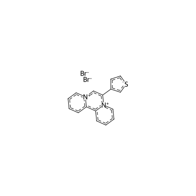 [Br-].[Br-].c1cc[n+]2cc(-c3ccsc3)[n+]3ccccc3c2c1